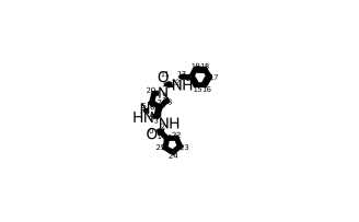 O=C(Nc1[nH]nc2c1CN(C(=O)NCc1ccccc1)C2)C1CCCC1